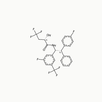 O=C(NC(c1cc(F)cc(C(F)(F)F)c1)[C@@H](c1ccccc1)c1ccc(F)cc1)[C@@H](O)CC(F)(F)F